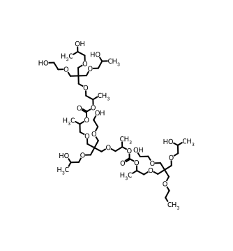 CCCOCC(COCCO)(COCC(C)O)COCC(C)OC(=O)OC(C)COCC(COCCO)(COCC(C)O)COCC(C)OC(=O)OC(C)COCC(COCCO)(COCC(C)O)COCC(C)O